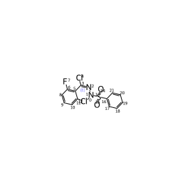 CN(/N=C(/Cl)c1c(F)cccc1Cl)S(=O)(=O)c1ccccc1